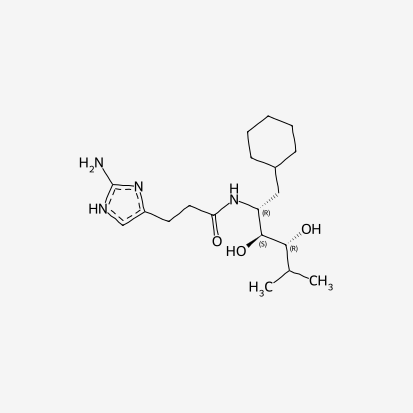 CC(C)[C@@H](O)[C@@H](O)[C@@H](CC1CCCCC1)NC(=O)CCc1c[nH]c(N)n1